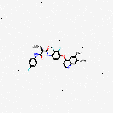 CN/C=C(\C(=O)Nc1ccc(F)cc1)C(=O)Nc1ccc(Oc2ccnc3cc(OC)c(OC)cc23)c(F)c1F